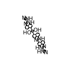 OC1=C(c2ccc3c4c(cccc24)N=C(c2cnc[nH]2)N3)C(O)=C1C1C=CC2=C3C(=CC=CC31)NC(c1ccc3c4c(cccc14)N=C(c1cnc[nH]1)N3)=N2